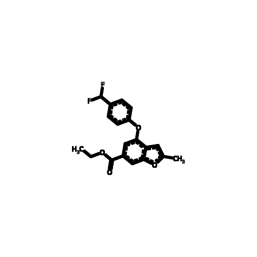 CCOC(=O)c1cc(Oc2ccc(C(F)F)cc2)c2cc(C)oc2c1